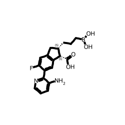 Nc1cccnc1-c1cc2c(cc1F)C[C@H](CCCB(O)O)[C@@H]2C(=O)O